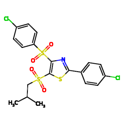 CC(C)CS(=O)(=O)c1sc(-c2ccc(Cl)cc2)nc1S(=O)(=O)c1ccc(Cl)cc1